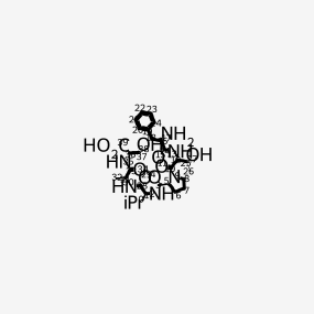 CC(C)[C@H](NC(=O)[C@@H]1CCCN1C(=O)[C@@H](NC(=O)[C@@H](N)Cc1ccccc1)[C@@H](C)O)C(=O)N[C@@H](C)C(=O)N[C@@H](CO)C(=O)O